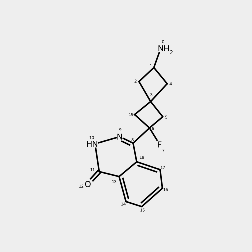 NC1CC2(C1)CC(F)(c1n[nH]c(=O)c3ccccc13)C2